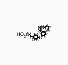 O=C(O)CCc1ccc(Oc2ccc3c(c2)S(=O)(=O)N=C2CCCN23)cc1